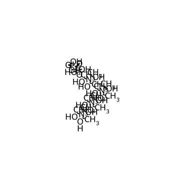 CC(O)N(C(C)O)C(C)O.CC(O)N(C(C)O)C(C)O.CC(O)N(C(C)O)C(C)O.CC(O)N(C(C)O)C(C)O.O=C(P(=O)(O)O)P(=O)(O)O